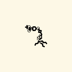 CCC[CH2][Sn]([CH2]CCC)([CH2]CCC)[c]1cn(CC2CC(OC3CCN(C(=O)OC(C)(C)C)CC3)C2)cn1